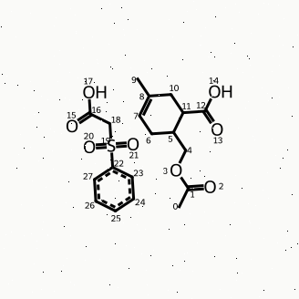 CC(=O)OCC1CC=C(C)CC1C(=O)O.O=C(O)CS(=O)(=O)c1ccccc1